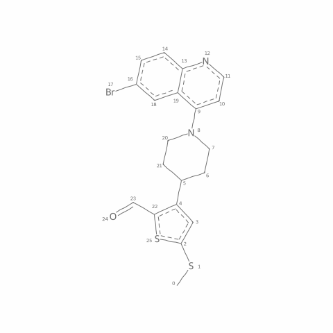 CSc1cc(C2CCN(c3ccnc4ccc(Br)cc34)CC2)c(C=O)s1